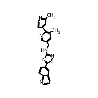 Cc1cc(-c2ncc(CNc3nsc(-c4ccc5ncccc5c4)n3)cc2C)ccn1